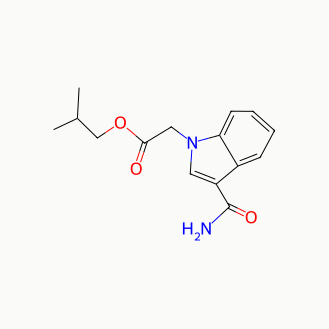 CC(C)COC(=O)Cn1cc(C(N)=O)c2ccccc21